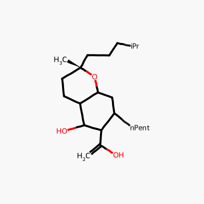 C=C(O)C1C(CCCCC)CC2O[C@@](C)(CCCC(C)C)CCC2C1O